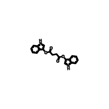 O=C(CCC(=O)Oc1c[nH]c2ccccc12)Oc1c[nH]c2ccccc12